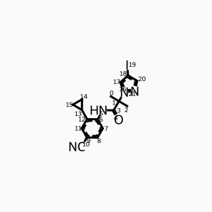 CC(C)(C(=O)Nc1ccc(C#N)cc1C1CC1)n1cc(I)cn1